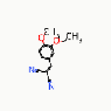 CCOc1cc(C=C(C#N)C#N)ccc1OC